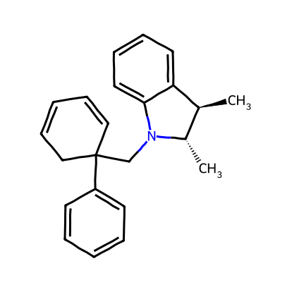 C[C@@H]1c2ccccc2N(CC2(c3ccccc3)C=CC=CC2)[C@H]1C